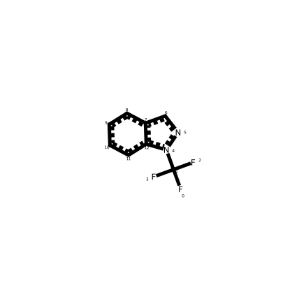 FC(F)(F)n1ncc2ccccc21